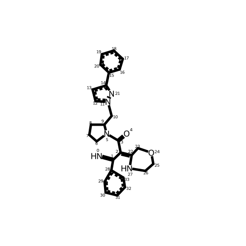 N=C(/C(C(=O)N1CCCC1Cn1ccc(-c2ccccc2)n1)=C1/COCCN1)c1ccccc1